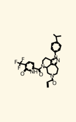 C=CC(=O)N1CCc2nn(-c3ccc(C(C)C)cc3)c3c2C(C1)N(C(=O)c1ccc(C(F)(F)F)c(=O)[nH]1)CC3